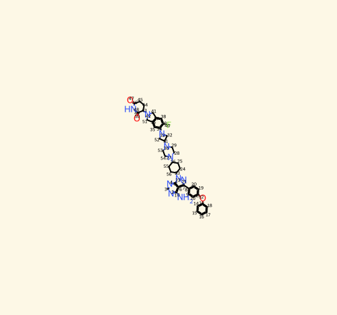 Nc1ncnc2c1c(-c1ccc(Oc3ccccc3)cc1)nn2[C@H]1CC[C@H](N2CCN(C3CN(c4cc5c(cc4F)CN(C4CCC(=O)NC4=O)C5)C3)CC2)CC1